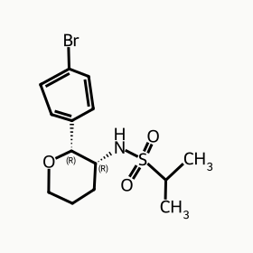 CC(C)S(=O)(=O)N[C@@H]1CCCO[C@@H]1c1ccc(Br)cc1